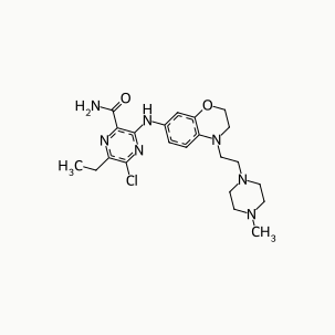 CCc1nc(C(N)=O)c(Nc2ccc3c(c2)OCCN3CCN2CCN(C)CC2)nc1Cl